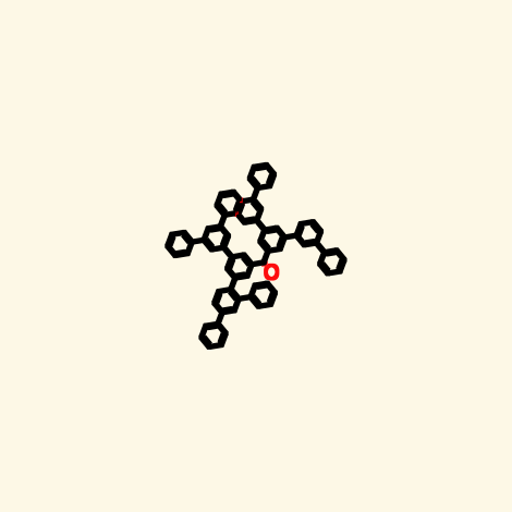 O=C(c1cc(-c2cccc(-c3ccccc3)c2)cc(-c2cccc(-c3ccccc3)c2)c1)c1cc(-c2cc(-c3ccccc3)cc(-c3ccccc3)c2)cc(-c2ccc(-c3ccccc3)cc2-c2ccccc2)c1